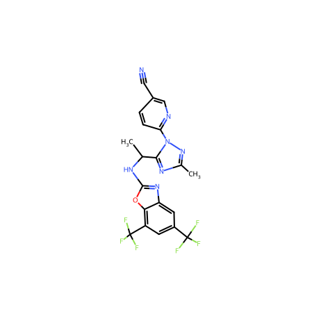 Cc1nc(C(C)Nc2nc3cc(C(F)(F)F)cc(C(F)(F)F)c3o2)n(-c2ccc(C#N)cn2)n1